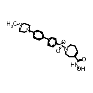 CN1CCN(c2ccc(-c3ccc(S(=O)(=O)N4CCC=C(C(=O)NO)CC4)cc3)cc2)CC1